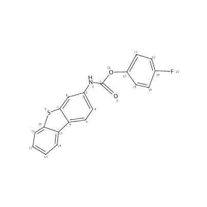 O=C(Nc1ccc2c(c1)sc1ccccc12)Oc1ccc(F)cc1